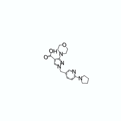 O=C(O)c1cn(Cc2ccc(N3CCCC3)nc2)nc1N1CCOCC1